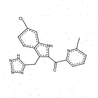 Cc1cccc(C(=O)c2[nH]c3cc(Cl)ccc3c2Cc2nnn[nH]2)n1